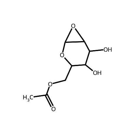 CC(=O)OCC1OC2OC2C(O)C1O